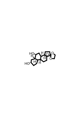 C[C@]12CC[C@@H]3[C@H]4CC[C@H](O)C[C@@H]4[C@@H](O)C[C@H]3[C@@H]1CCC21OCCO1